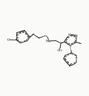 Cc1nnc(C(O)CNCCCc2ccc(Cl)cc2)n1-c1ccccc1